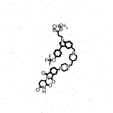 COC(CCn1cc(-c2ccc(OC(F)(F)F)cc2)c2cc(CN3CCC(CN4CCN(c5ccc6c(c5)C(=O)N(C5CCC(=O)NC5=O)C6=O)CC4)CC3)ccc21)OC